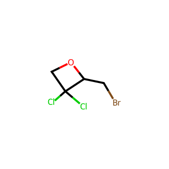 ClC1(Cl)COC1CBr